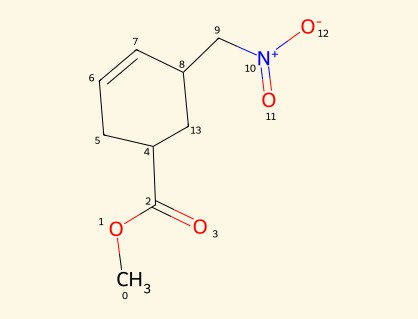 COC(=O)C1CC=CC(C[N+](=O)[O-])C1